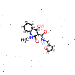 Cn1c(=O)c(C(=O)NCc2ccco2)c(O)c2ccccc21